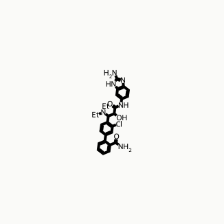 CCN(CC)C(c1ccc(-c2ccccc2C(N)=O)cc1Cl)C(O)C(=O)Nc1ccc2nc(N)[nH]c2c1